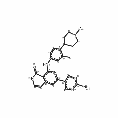 CC(=O)N1CCC(c2ccc(Nc3nc(-c4cnc(N)nc4)cc4c3C(=O)[N]C=C4)cc2C)CC1